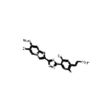 COc1cc2nc(-c3nc(-c4cc(F)c(CCC(=O)O)cc4Cl)no3)cn2cc1Cl